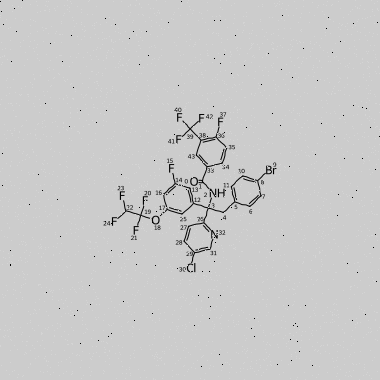 O=C(NC(Cc1ccc(Br)cc1)(c1cc(F)cc(OC(F)(F)C(F)F)c1)c1ccc(Cl)cn1)c1ccc(F)c(C(F)(F)F)c1